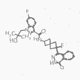 CC(C)(O)Cn1nc(C(=O)NC2CC3(C2)CC(F)(c2n[nH]c(=O)c4ccccc24)C3)c2ccc(F)cc21